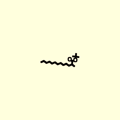 CCCCCCCCCCCC(C)C(=O)OC(C)(C)C